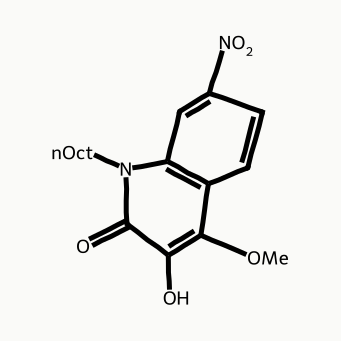 CCCCCCCCn1c(=O)c(O)c(OC)c2ccc([N+](=O)[O-])cc21